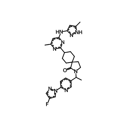 Cc1cc(Nc2cc(C)[nH]n2)nc(C2CCC3(CC2)CCN(C(C)c2ccc(-n4cc(F)cn4)nc2)C3=O)n1